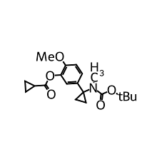 COc1ccc(C2(N(C)C(=O)OC(C)(C)C)CC2)cc1OC(=O)C1CC1